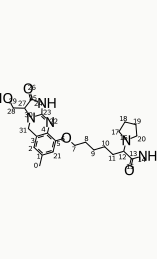 Cc1cc2c(c(OCCCCCC(C(N)=O)N3CCCC3)c1)N=C1NC(=O)C(CO)N1C2